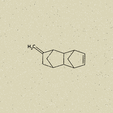 C=C1CC2CC1C1C3C=CC(C3)C21